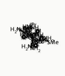 CSCCC(N)C(=O)N1CCCC1C(=O)NC(Cc1ccccc1)C(=O)NC(CCCN=C(N)N)C(=O)NC(Cc1c[nH]c2ccccc12)C(=O)NC(Cc1ccccc1)C(=O)NC(CCCCN)C(=O)N1CCCC1C(=O)NC(C(N)=O)C(C)C